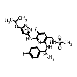 CC(C)Oc1cc(Nc2nc(N[C@@H](C)c3ccc(F)cc3)c(CNS(C)(=O)=O)cc2F)n[nH]1